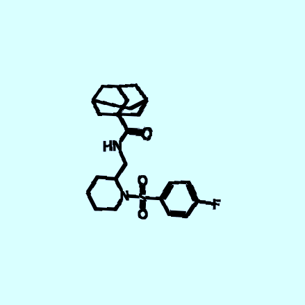 O=C(NCC1CCCCN1S(=O)(=O)c1ccc(F)cc1)C12CC3CC(CC(C3)C1)C2